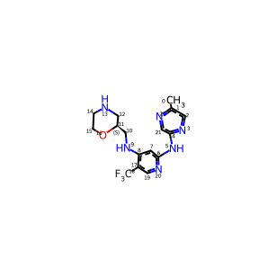 Cc1cnc(Nc2cc(NC[C@@H]3CNCCO3)c(C(F)(F)F)cn2)cn1